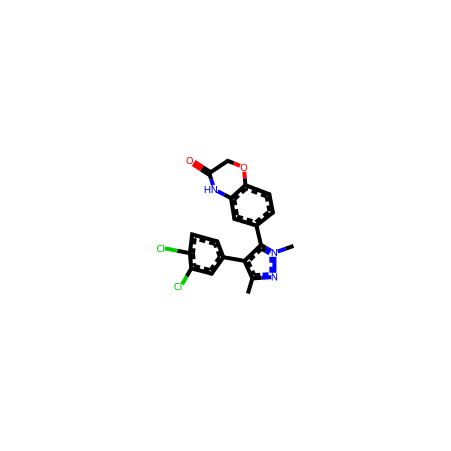 Cc1nn(C)c(-c2ccc3c(c2)NC(=O)CO3)c1-c1ccc(Cl)c(Cl)c1